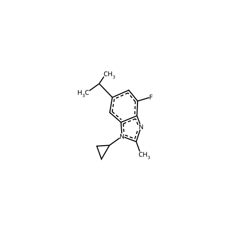 Cc1nc2c(F)cc(C(C)C)cc2n1C1CC1